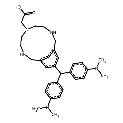 CN(C)c1ccc(C(c2ccc(N(C)C)cc2)c2cc3cc(c2)CNCCN(CC(=O)O)CCNC3)cc1